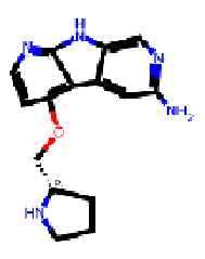 Nc1cc2c(cn1)[nH]c1nccc(OC[C@@H]3CCCN3)c12